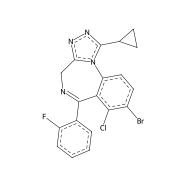 Fc1ccccc1C1=NCc2nnc(C3CC3)n2-c2ccc(Br)c(Cl)c21